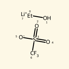 CCO.O=S(=O)([O-])C(F)(F)F.[Li+]